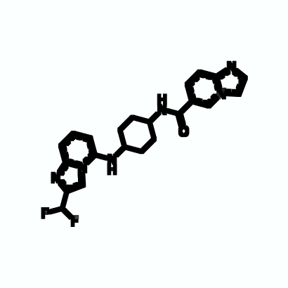 O=C(NC1CCC(Nc2cccc3nc(C(F)F)cn23)CC1)c1ccc2nccn2c1